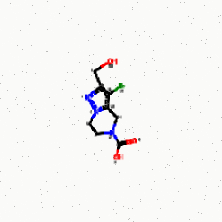 O=C(O)N1CCn2nc(CO)c(Br)c2C1